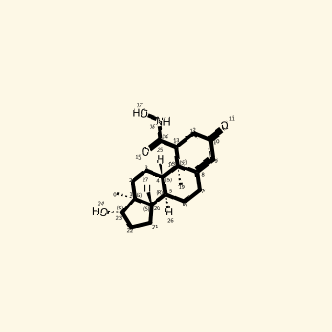 C[C@]12CC[C@H]3[C@@H](CCC4=CC(=O)CC(C(=O)NO)[C@@]43C)[C@@H]1CC[C@@H]2O